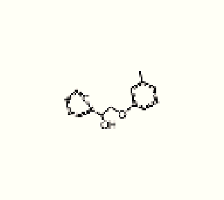 Cc1cccc(OCC(O)c2ccccc2)c1